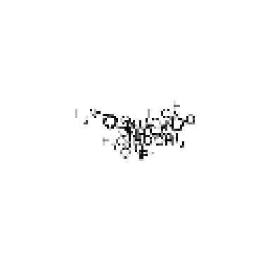 CC(C)OC(=O)[C@H](C)NP(=O)(OC[C@@]1(CF)O[C@@H](n2ccc(=O)[nH]c2=O)[C@](C)(O)[C@@H]1O)Oc1ccc(CN)cc1